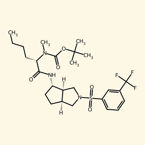 CCCC[C@@H](C(=O)N[C@H]1CC[C@@H]2CN(S(=O)(=O)c3cccc(C(F)(F)F)c3)C[C@@H]21)N(C)C(=O)OC(C)(C)C